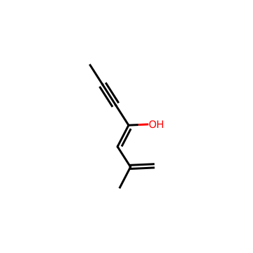 C=C(C)/C=C(\O)C#CC